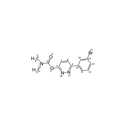 CN(C)C(=O)Oc1ccc(-c2cccc(Br)c2)nn1